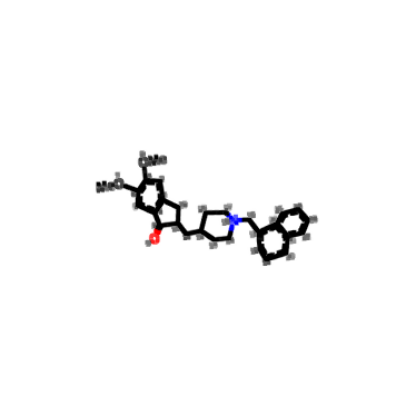 COc1cc2c(cc1OC)C(=O)C(CC1CCN(Cc3cccc4ccccc34)CC1)C2